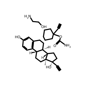 C#CC1(OC(N)=O)CCCCC1.C#C[C@]1(O)CC[C@H]2[C@@H]3CCc4cc(O)ccc4[C@H]3CC[C@@]21C.NCCO